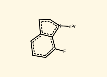 CCCn1ccc2cccc(F)c21